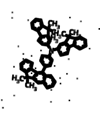 CC1(C)c2ccccc2-c2ccc(N(c3ccc(-c4c5c(cc6ccccc46)C(C)(C)c4ccccc4-5)cc3)c3ccc4c(c3)C(C)(C)c3ccccc3-4)cc21